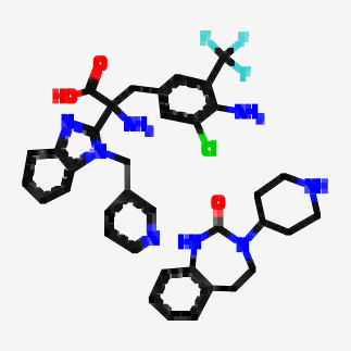 Nc1c(Cl)cc(CC(N)(C(=O)O)c2nc3ccccc3n2Cc2cccnc2)cc1C(F)(F)F.O=C1Nc2ccccc2CCN1C1CCNCC1